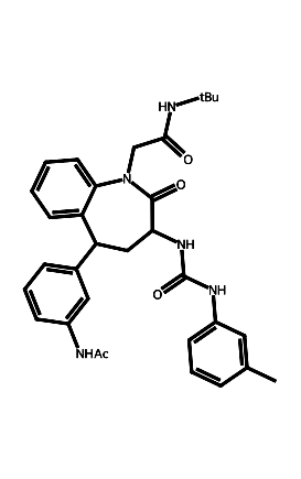 CC(=O)Nc1cccc(C2CC(NC(=O)Nc3cccc(C)c3)C(=O)N(CC(=O)NC(C)(C)C)c3ccccc32)c1